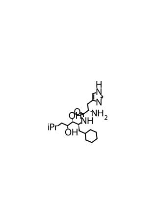 CC(C)C[C@H](O)[C@H](O)[C@H](CC1CCCCC1)NC(=O)[C@@H](N)Cc1c[nH]cn1